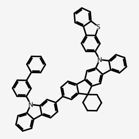 c1ccc(-c2cccc(-n3c4ccccc4c4ccc(-c5ccc6c(c5)C5(CCCCC5)c5cc7c8ccccc8n(-c8ccc9c(c8)sc8ccccc89)c7cc5-6)cc43)c2)cc1